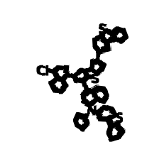 Clc1ccc(-c2cc(-c3ccc(N(c4ccccc4)c4ccc5sc6ccccc6c5c4)c4ccccc34)c3sc4ccc(-c5ccc6sc7ccccc7c6c5)cc4c3c2)c2ccccc12